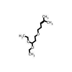 CCOC(CCOCCC=C(C)C)OCC